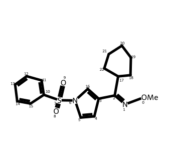 CO/N=C(/c1ccn(S(=O)(=O)c2ccccc2)c1)C1CCCCC1